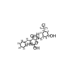 CC(C)(Cl)c1cc(O)cc(CNC[C@@H](O)[C@H](Cc2ccccc2)NC(=O)O)c1